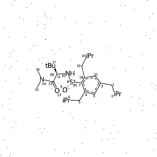 CC(C)Cc1cc(CC(C)C)c([S@+]([O-])N[C@@H](C(=O)N(C)C)C(C)(C)C)c(CC(C)C)c1